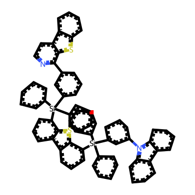 c1ccc([Si](c2ccccc2)(c2cccc(-c3nccc4c3sc3ccccc34)c2)c2cccc3c2sc2c([Si](c4ccccc4)(c4ccccc4)c4cccc(-n5c6ccccc6c6ccccc65)c4)cccc23)cc1